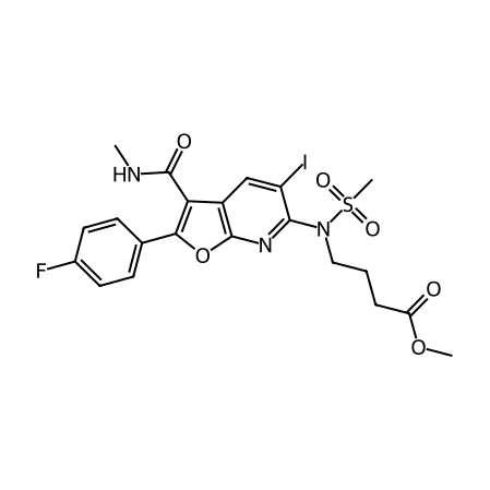 CNC(=O)c1c(-c2ccc(F)cc2)oc2nc(N(CCCC(=O)OC)S(C)(=O)=O)c(I)cc12